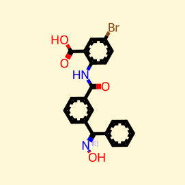 O=C(Nc1ccc(Br)cc1C(=O)O)c1cccc(/C(=N/O)c2ccccc2)c1